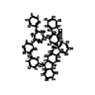 c1ccc(-c2nc(-c3cccc(-c4cccc(-n5c6ccccc6c6cc7c(cc65)sc5ccccc57)c4)c3)nc(-c3cccc4oc5ccccc5c34)n2)cc1